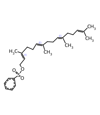 CC(C)=CCC/C(C)=C/CC/C(C)=C/CC/C(C)=C/COS(=O)(=O)c1ccccc1